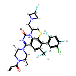 C=CC(=O)N1C[C@H](C)N(c2nc(=O)n3c4c(c(-c5cc(Cl)c(F)cc5F)c(C(F)(F)F)cc24)SCC3CN2CC(F)C2)C[C@H]1C